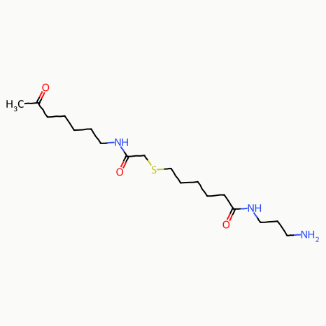 CC(=O)CCCCCNC(=O)CSCCCCCC(=O)NCCCN